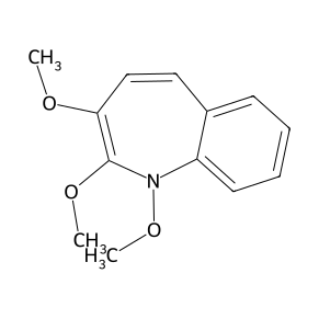 COC1=C(OC)N(OC)c2ccccc2C=C1